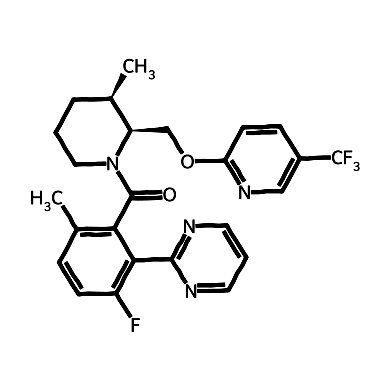 Cc1ccc(F)c(-c2ncccn2)c1C(=O)N1CCC[C@@H](C)[C@H]1COc1ccc(C(F)(F)F)cn1